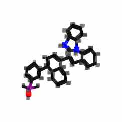 CP(C)(=O)c1cccc(-c2ccc(-c3cc4ccccc4n4c3nc3ccccc34)c3ccccc23)c1